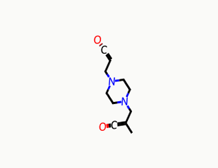 CC(=C=O)CN1CCN(CC=C=O)CC1